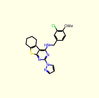 COc1ccc(CNc2nc(-n3cccn3)nc3sc4c(c23)CCCC4)cc1Cl